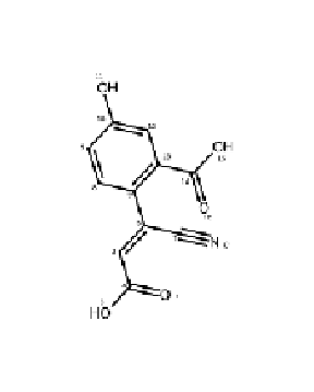 N#CC(=CC(=O)O)c1ccc(O)cc1C(=O)O